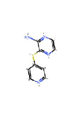 Nc1nccnc1Sc1ccncc1